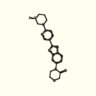 O=C1COCCN1c1ccc2nc(-c3ccc(N4CCC[C@H](F)C4)nc3)sc2c1